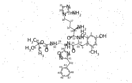 Cc1cc(O)cc(C)c1C[C@H](NC(=O)[C@H](N)CCCn1ccnc1N)C(=O)N[C@@H](CCNC(=O)OC(C)(C)C)c1nc(Cc2ccccc2)no1